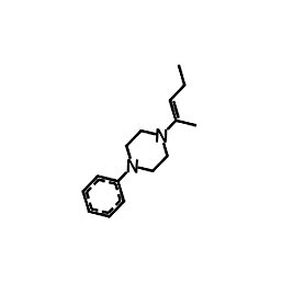 CCC=C(C)N1CCN(c2ccccc2)CC1